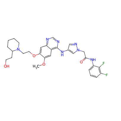 COc1cc2c(Nc3cnn(CC(=O)Nc4cccc(F)c4F)c3)ncnc2cc1OCCN1CCCCC1CCO